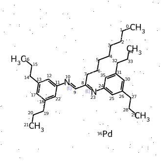 CCCCCCCCC(/C=N/c1cc(CCC)cc(CCC)c1)=N\c1cc(CCC)cc(CCC)c1.[Pd]